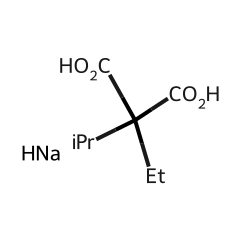 CCC(C(=O)O)(C(=O)O)C(C)C.[NaH]